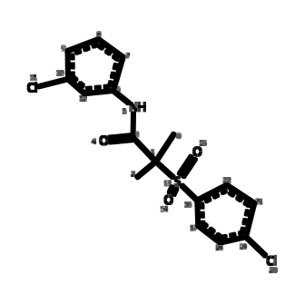 CC(C)(C(=O)Nc1cccc(Cl)c1)S(=O)(=O)c1ccc(Cl)cc1